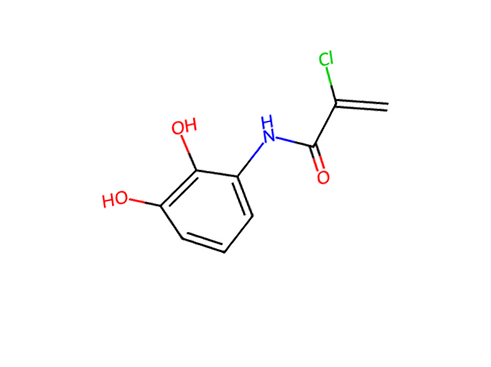 C=C(Cl)C(=O)Nc1cccc(O)c1O